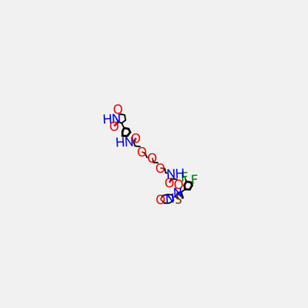 O=C(COc1c(-c2csc(N3C4CCC3COC4)n2)ccc(F)c1F)NCCOCCOCCOCCC(=O)Nc1ccc(C2CCC(=O)NC2=O)cc1